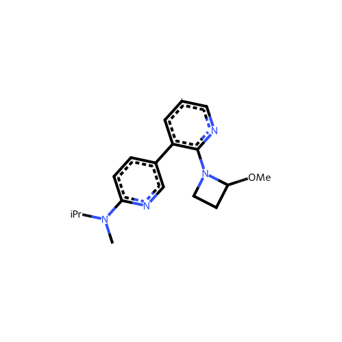 COC1CCN1c1nc[c]cc1-c1ccc(N(C)C(C)C)nc1